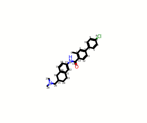 Cc1cc(-c2ccc(Cl)cc2)ccc1C(=O)Nc1ccc2c(c1)CCC(CN(C)C)C2